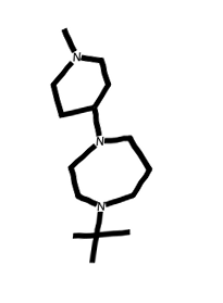 CN1CCC(N2CCCN(C(C)(C)C)CC2)CC1